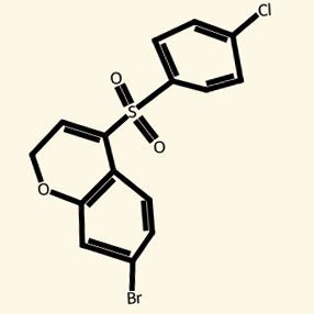 O=S(=O)(C1=CCOc2cc(Br)ccc21)c1ccc(Cl)cc1